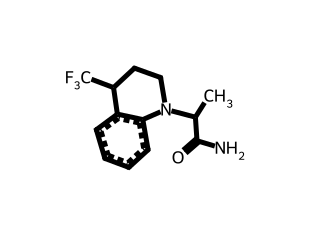 CC(C(N)=O)N1CCC(C(F)(F)F)c2ccccc21